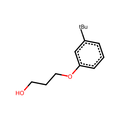 CC(C)(C)c1cccc(OCCCO)c1